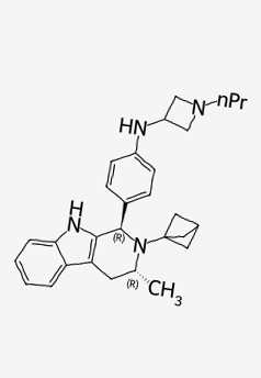 CCCN1CC(Nc2ccc([C@@H]3c4[nH]c5ccccc5c4C[C@@H](C)N3C34CC(C3)C4)cc2)C1